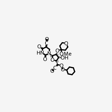 COC1(O[C@@H]2[C@H](O)[C@@H](C(=C=O)OOC3CCCCC3)O[C@H]2N2CC(=C=O)C(=O)NC2=O)CCOCC1